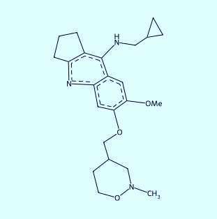 COc1cc2c(NCC3CC3)c3c(nc2cc1OCC1CCON(C)C1)CCC3